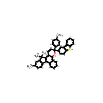 COc1ccc(C2(c3ccc4sc5ccccc5c4c3)C=Cc3c4c(c5ccccc5c3O2)-c2ccc(C)cc2C4(C)C)cc1